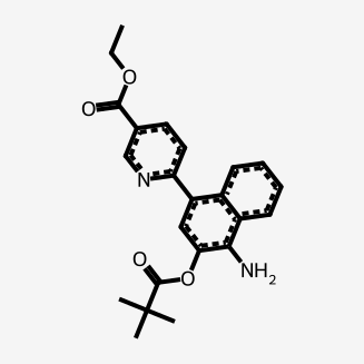 CCOC(=O)c1ccc(-c2cc(OC(=O)C(C)(C)C)c(N)c3ccccc23)nc1